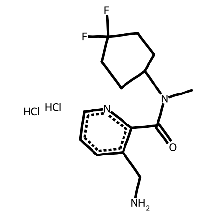 CN(C(=O)c1ncccc1CN)C1CCC(F)(F)CC1.Cl.Cl